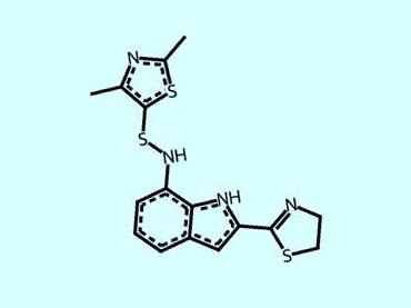 Cc1nc(C)c(SNc2cccc3cc(C4=NCCS4)[nH]c23)s1